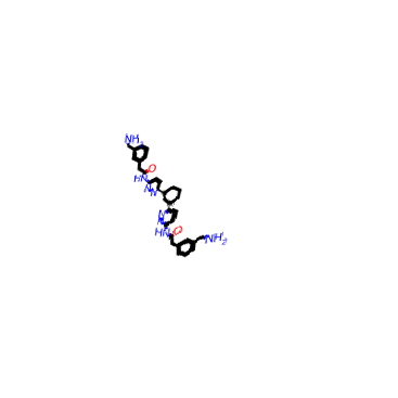 NCc1cccc(CC(=O)Nc2ccc([C@H]3CCC[C@H](c4ccc(NC(=O)Cc5cccc(CN)c5)nn4)C3)nn2)c1